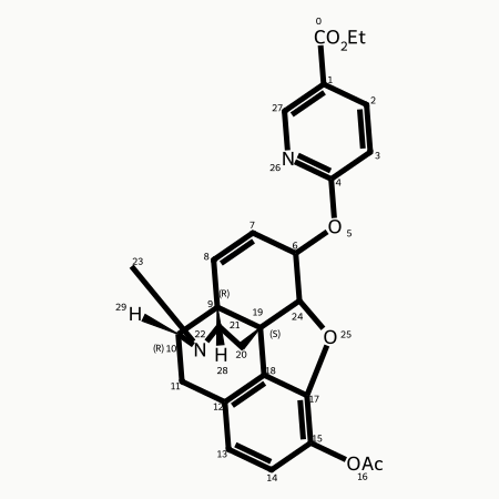 CCOC(=O)c1ccc(OC2C=C[C@H]3[C@H]4Cc5ccc(OC(C)=O)c6c5[C@@]3(CCN4C)C2O6)nc1